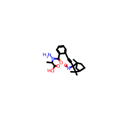 CC(C(=O)O)N(N)C(=O)c1ccccc1C#CC1(N=O)C2(C)CCC(C2)C1(C)C